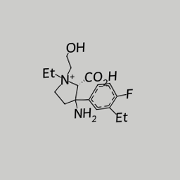 CCc1cc(C2(N)CC[N+](CC)(CCO)[C@@H]2C(=O)O)ccc1F